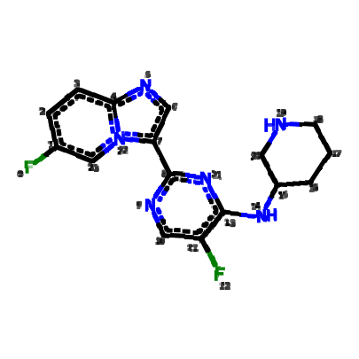 Fc1ccc2ncc(-c3ncc(F)c(NC4CCCNC4)n3)n2c1